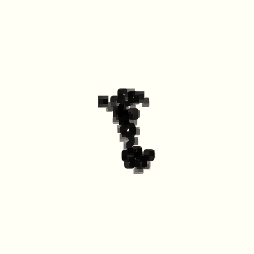 CCC(C(C)C)n1ncn(-c2ccc(CCC(=O)ON3C(=O)CCC3=O)cc2)c1=O